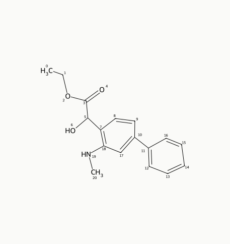 CCOC(=O)C(O)c1ccc(-c2ccccc2)cc1NC